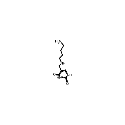 NCCCCNCc1c[nH]c(=O)[nH]c1=O